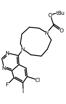 CC(C)(C)OC(=O)N1CCCCN(c2ncnc3c(F)c(I)c(Cl)cc23)CCCC1